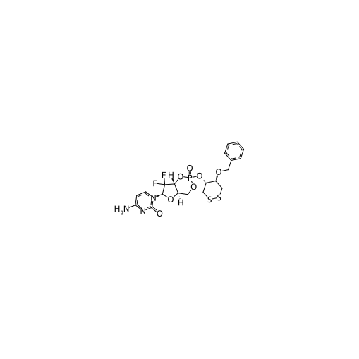 Nc1ccn([C@@H]2O[C@@H]3COP(=O)(O[C@H]4CSSC[C@@H]4OCc4ccccc4)O[C@H]3C2(F)F)c(=O)n1